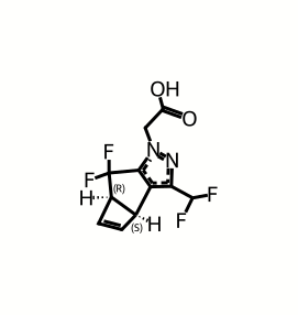 O=C(O)Cn1nc(C(F)F)c2c1C(F)(F)[C@@H]1C=C[C@H]21